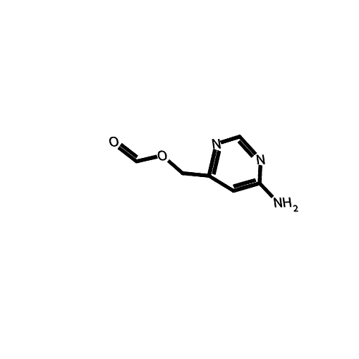 Nc1cc(COC=O)ncn1